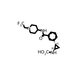 O=C(O)N[C@@H]1C[C@H]1c1cccc(C(=O)NC2CCN(CC(F)(F)F)CC2)c1